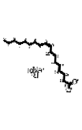 CCCCCCCC/C=C\CCCCCCCC(=O)[O-].[Cl][K].[Na+]